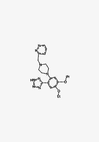 CCOc1cc(-c2nn[nH]n2)c(N2CCN(Cc3cccnn3)CC2)cc1OC(C)C